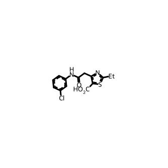 CCc1nc(CC(=O)Nc2cccc(Cl)c2)c(C(=O)O)s1